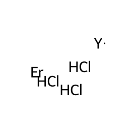 Cl.Cl.Cl.[Er].[Y]